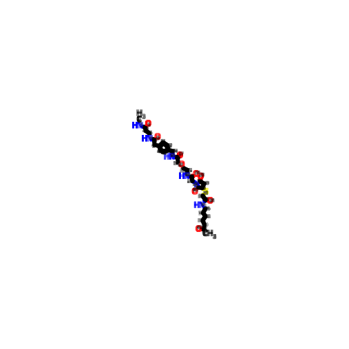 CNC(=O)CCNC(=O)Cc1ccc(CNC(=O)COCCNC(=O)CN2C(=O)CC(SCC(=O)NCCCCCC(C)=O)C2=O)cc1